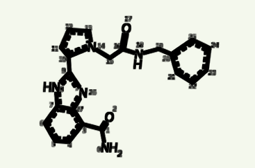 NC(=O)c1cccc2[nH]c(-c3cccn3CC(=O)NCc3ccccc3)nc12